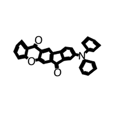 O=C1c2cc(N(c3ccccc3)c3ccccc3)ccc2-c2cc3c(=O)c4ccccc4oc3cc21